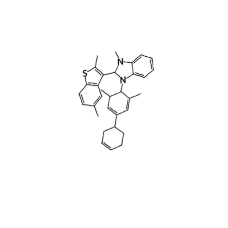 CC1=CC(C2CC=CCC2)=CC(C)C1N1c2ccccc2N(C)C1c1c(C)sc2ccc(C)cc12